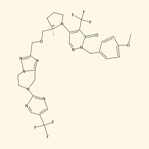 COc1ccc(Cn2ncc(N3CCC[C@]3(C)COCc3nc4n(n3)CCN(c3ncc(C(F)(F)F)cn3)C4)c(C(F)(F)F)c2=O)cc1